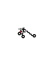 O=C1CNC(=O)C2(CCN(CCCCCCc3ccccc3)CC2)N1CC(c1ccccc1)c1ccccc1